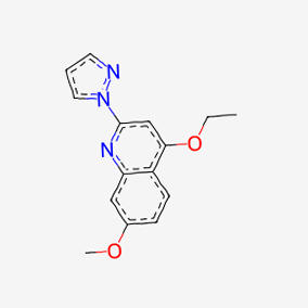 CCOc1cc(-n2cccn2)nc2cc(OC)ccc12